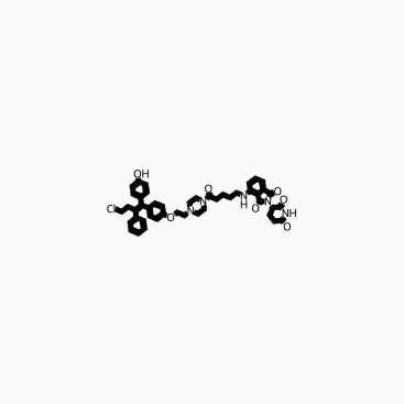 O=C1CCC(N2C(=O)c3cccc(NCCCCC(=O)N4CCN(CCOc5ccc(C(=C(CCCl)c6ccccc6)c6ccc(O)cc6)cc5)CC4)c3C2=O)C(=O)N1